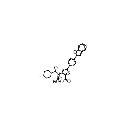 COC(=O)c1sc(-c2ccc(-c3cc4cnccc4o3)cc2)cc1N(C(=O)[C@H]1CC[C@H](C)CC1)C(C)C